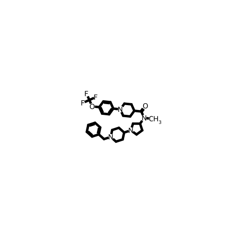 CN(C(=O)C1CCN(c2ccc(OC(F)(F)F)cc2)CC1)C1CCN(C2CCN(Cc3ccccc3)CC2)C1